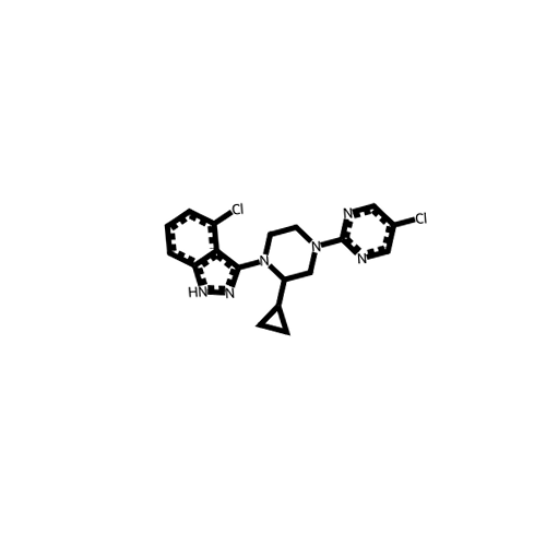 Clc1cnc(N2CCN(c3n[nH]c4cccc(Cl)c34)C(C3CC3)C2)nc1